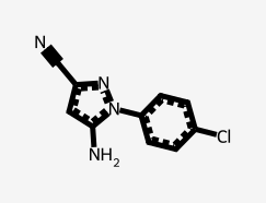 N#Cc1cc(N)n(-c2ccc(Cl)cc2)n1